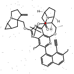 C#Cc1c(F)ccc2cccc(-c3nc4c5c(nc(OCC67CC8CC8N6CCC7=C)nc5c3F)N3C[C@H]5CC[C@@H]([C@H]3[C@H](C)O4)N5C(=O)OC(C)(C)C)c12